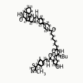 Cc1ncsc1-c1ccc(CNC(=O)[C@@H]2C[C@@H](O)CN2C(=O)[C@@H](NC(=O)CCCCCCC(=O)N2CCN(c3ccc(Nc4ncc5cc6n(c5n4)C4(CCCCC4)CNC6=O)nc3)CC2)C(C)(C)C)cc1